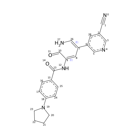 N#Cc1cncc(C(/C=C(\C=O)NC(=O)c2ccc(N3CCCC3)cc2)=C/N)c1